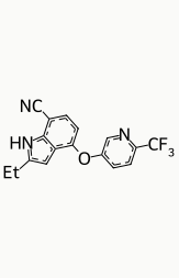 CCc1cc2c(Oc3ccc(C(F)(F)F)nc3)ccc(C#N)c2[nH]1